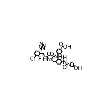 O=C(/C=C/c1c(-n2cnnn2)ccc(Cl)c1F)N[C@@H](Cc1ccc(NC(=O)N2CC[C@@H](O)C2)cc1)C(=O)Nc1ccc(C(=O)O)cc1